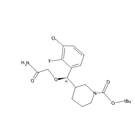 CC(C)(C)OC(=O)N1CCCC([C@@H](OCC(N)=O)c2cccc(Cl)c2F)C1